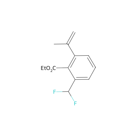 C=C(C)c1cccc(C(F)F)c1C(=O)OCC